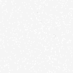 CCOP(=O)(OCC)C(CC(C#N)c1ccccc1)P(=O)(OCC)OCC